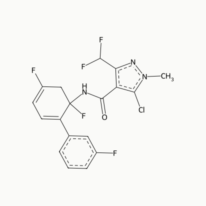 Cn1nc(C(F)F)c(C(=O)NC2(F)CC(F)=CC=C2c2cccc(F)c2)c1Cl